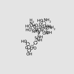 NCC1O[C@H](O[C@@H]2C(N)C[C@@H](N)C(O)[C@H]2OC2O[C@H](CSCCNC(=S)Nc3ccc(C4CC5(OC4=O)c4ccc(O)cc4Oc4cc(O)ccc45)cc3)[C@H](O[C@H]3O[C@@H](CN)[C@@H](O)C(O)C3N)[C@@H]2O)C(N)[C@@H](O)[C@@H]1O